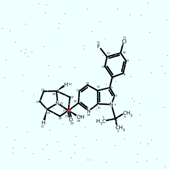 CC(C)(C)n1cc(-c2ccc(Cl)c(F)c2)c2ccc(C(=O)N3[C@@H]4CC[C@H]3C[C@H](O)C4)nc21